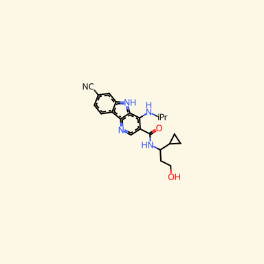 CC(C)Nc1c(C(=O)NC(CCO)C2CC2)cnc2c1[nH]c1cc(C#N)ccc12